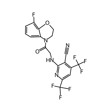 N#Cc1c(C(F)(F)F)cc(C(F)(F)F)nc1NCC(=O)N1CCOc2c(F)cccc21